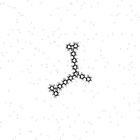 c1ccc(-c2ccc(-c3nc(-c4ccc(-c5ccc(-c6ccc(-n7c8ccccc8c8ccccc87)cc6)cc5)cc4)cc(-c4ccc(-c5ccc(-c6ccc(-n7c8ccccc8c8ccccc87)cc6)cc5)cc4)n3)cc2)cc1